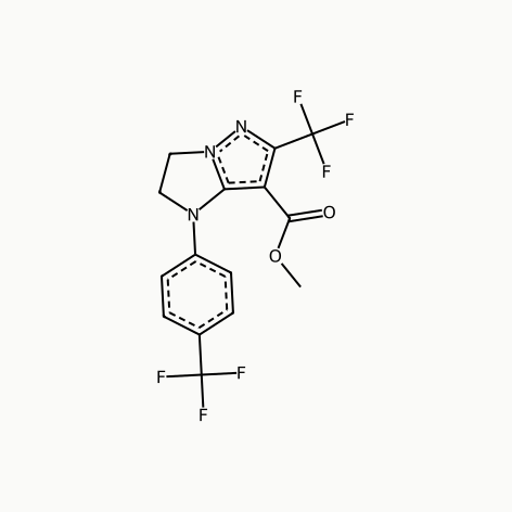 COC(=O)c1c(C(F)(F)F)nn2c1N(c1ccc(C(F)(F)F)cc1)CC2